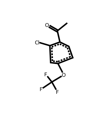 CC(=O)c1ccc(OC(F)(F)F)cc1Cl